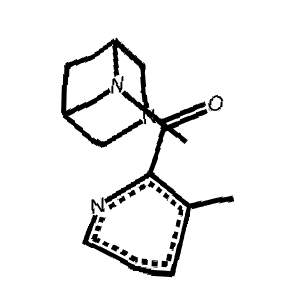 Cc1cccnc1C(=O)N1C2CC1CN(C)C2